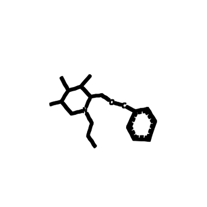 CCCN1CC(C)C(C)C(C)C1COCc1ccccc1